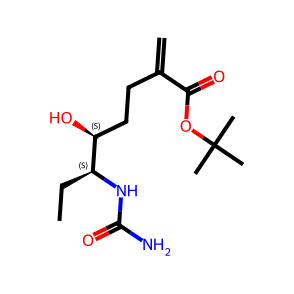 C=C(CC[C@H](O)[C@H](CC)NC(N)=O)C(=O)OC(C)(C)C